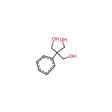 OCC(CO)(CO)c1cc[c]cc1